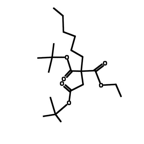 CCCCCCC(CC(=O)OC(C)(C)C)(C(=O)OCC)C(=O)OC(C)(C)C